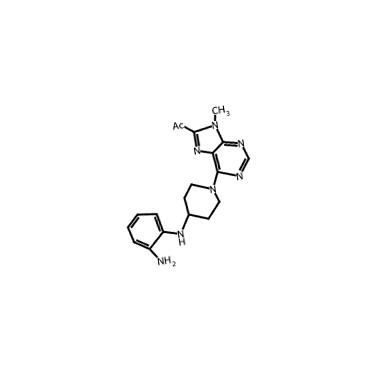 CC(=O)c1nc2c(N3CCC(Nc4ccccc4N)CC3)ncnc2n1C